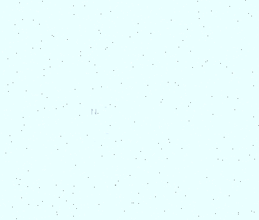 CC1C2C=CC(CC2)N1[C@H](C)c1ccccc1